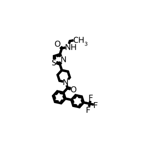 CCNC(=O)c1csc(C2CCN(C(=O)c3ccccc3-c3ccc(C(F)(F)F)cc3)CC2)n1